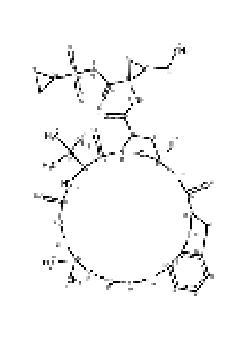 CC[C@@H]1C[C@]1(NC(=O)C1C[C@@H]2CN1C(=O)[C@H](C(C)(C)C)NC(=O)OCC(C)(C)CCCCc1cccc3c1CN(C3)C(=O)O2)C(=O)NS(=O)(=O)C1CC1